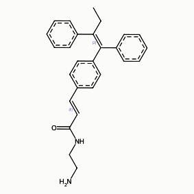 CC/C(=C(\c1ccccc1)c1ccc(/C=C/C(=O)NCCN)cc1)c1ccccc1